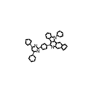 c1ccc(-c2cc(-c3ccccc3)nc(-c3ccc(-c4nc5cc6ccccc6cc5c5c4c4ccccc4n5-c4ccccc4)cc3)n2)cc1